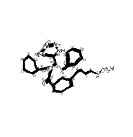 O=C(O)NCCCC1CCCC(C(=O)N(C2CCCCC2)[C@@H](Cc2ccccc2)c2nnn[nH]2)C1